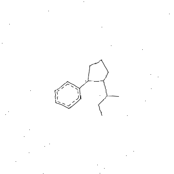 CCC(C)C1CCC[C]1c1ccccc1